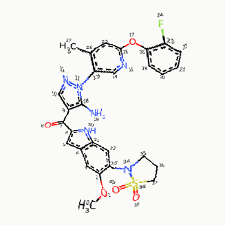 COc1cc2cc(C(=O)c3cnn(-c4cnc(Oc5ccccc5F)cc4C)c3N)[nH]c2cc1N1CCCS1(=O)=O